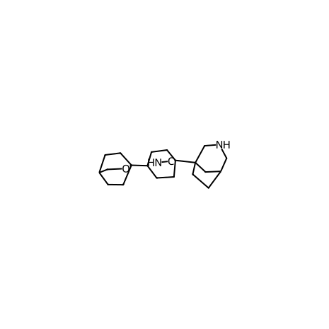 C1CC2(C34CCC(C56CCC(CNC5)C6)(CC3)CN4)CCC1CO2